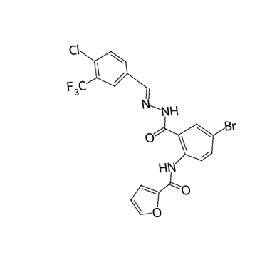 O=C(Nc1ccc(Br)cc1C(=O)NN=Cc1ccc(Cl)c(C(F)(F)F)c1)c1ccco1